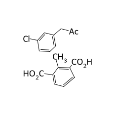 CC(=O)Cc1cccc(Cl)c1.Cc1c(C(=O)O)cccc1C(=O)O